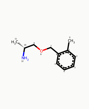 Cc1ccccc1COC[C@@H](C)N